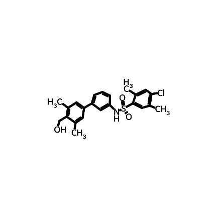 Cc1cc(S(=O)(=O)Nc2cccc(-c3cc(C)c(CO)c(C)c3)c2)c(C)cc1Cl